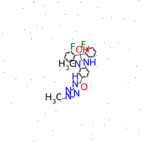 CCn1cnc(NC(=O)c2ccc3c(c2)N(C)C(C(O)(c2ccccc2F)c2ccccc2F)N3)n1